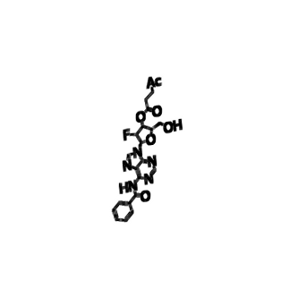 CC(=O)CCC(=O)O[C@@H]1C(F)[C@H](n2cnc3c(NC(=O)c4ccccc4)ncnc32)O[C@@H]1CO